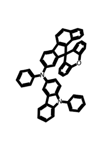 c1ccc(N(c2ccc3c(c2)C2(c4ccccc4Oc4ccccc42)c2c-3ccc3ccccc23)c2ccc3c(c2)c2ccccc2n3-c2ccccc2)cc1